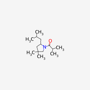 CC(C)CC1CC(C)(C)CN1C(=O)C(C)C